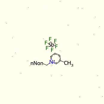 CCCCCCCCCC[n+]1cccc(C)c1.[F][Sb-]([F])([F])([F])([F])[F]